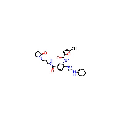 Cc1ccc(C(=O)Nc2cc(C(=O)NCCCN3CCCC3=O)ccc2NCCNc2ccccc2)o1